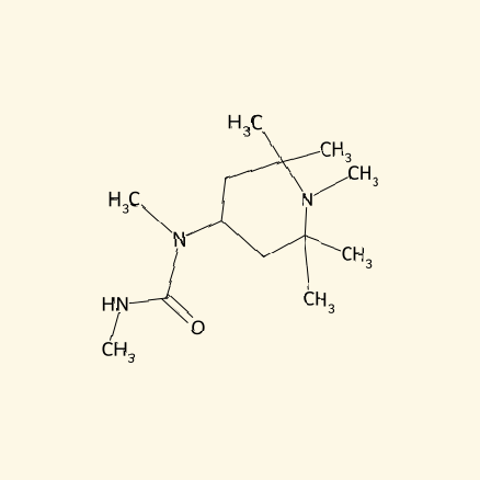 CNC(=O)N(C)C1CC(C)(C)N(C)C(C)(C)C1